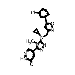 Cn1c(-c2cn[nH]c(=O)c2)nnc1N(Cc1cc(-c2cccc(Cl)c2)on1)C1CC1